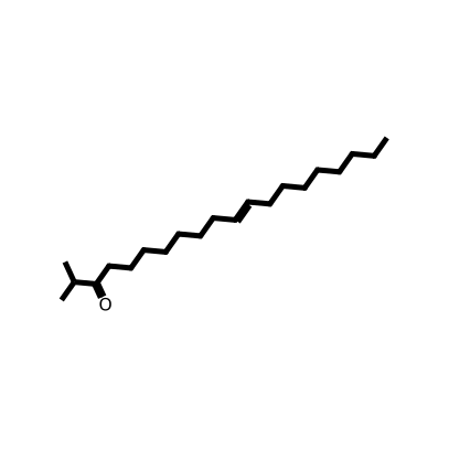 CCCCCCCCC=CCCCCCCCC(=O)C(C)C